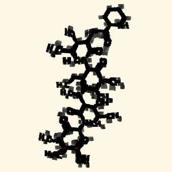 C=C[C@H](C)C[C@H](NC(=O)[C@H]([C@@H](O)C(C)C)N(C)C(=O)[C@H](C)N(C)C(=O)C(NC(=O)C(NC(=O)[C@H]1CCCCN1)[C@H](O)C(C)C)[C@@H](C)CC)C(=O)N(C)[C@@H](C)C(=O)O